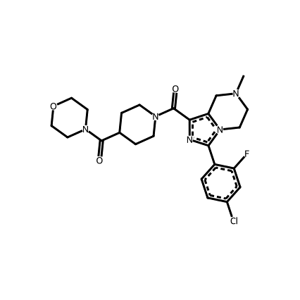 CN1CCn2c(-c3ccc(Cl)cc3F)nc(C(=O)N3CCC(C(=O)N4CCOCC4)CC3)c2C1